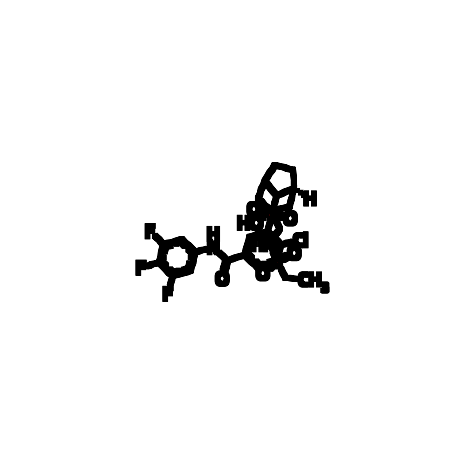 CCS(=O)(=O)NC[C@@]1(O)CC2CC[C@@H](C1)C2S(=O)(=O)c1cc(C(=O)Nc2cc(F)c(F)c(F)c2)ccc1Cl